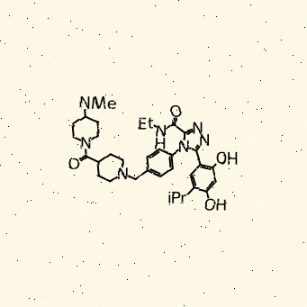 CCNC(=O)c1nnc(-c2cc(C(C)C)c(O)cc2O)n1-c1ccc(CN2CCC(C(=O)N3CCC(NC)CC3)CC2)cc1